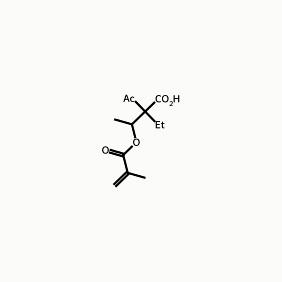 C=C(C)C(=O)OC(C)C(CC)(C(C)=O)C(=O)O